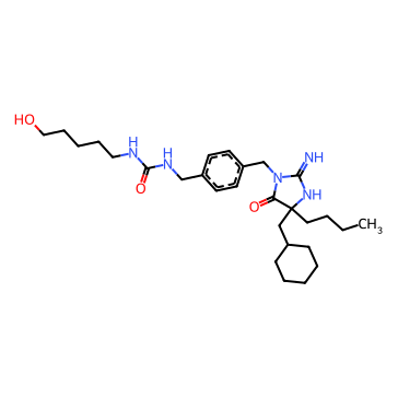 CCCCC1(CC2CCCCC2)NC(=N)N(Cc2ccc(CNC(=O)NCCCCCO)cc2)C1=O